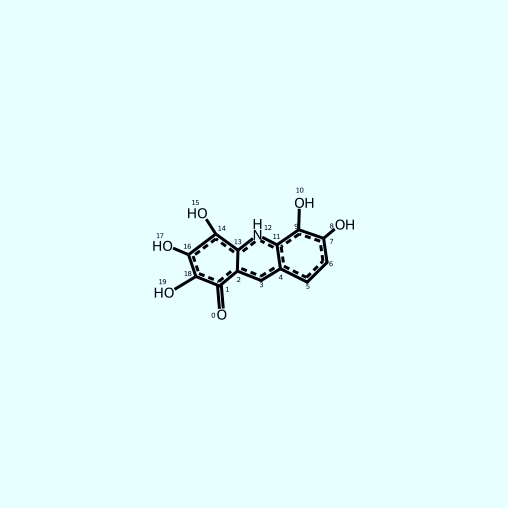 O=c1c2cc3ccc(O)c(O)c3[nH]c-2c(O)c(O)c1O